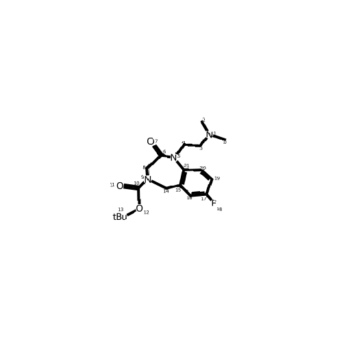 CN(C)CCN1C(=O)CN(C(=O)OC(C)(C)C)Cc2cc(F)ccc21